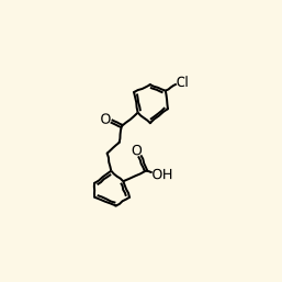 O=C(CCc1ccccc1C(=O)O)c1ccc(Cl)cc1